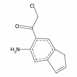 Nc1cc2c(cc1C(=O)CCl)CC=C2